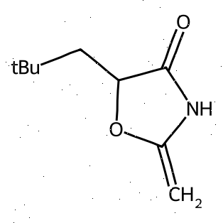 C=C1NC(=O)C(CC(C)(C)C)O1